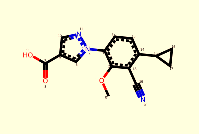 COc1c(-n2cc(C(=O)O)cn2)ccc(C2CC2)c1C#N